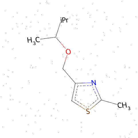 Cc1nc(COC(C)C(C)C)cs1